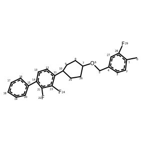 Cc1ccc(COC2CCC(c3ccc(-c4ccccc4)c(F)c3F)CC2)cc1F